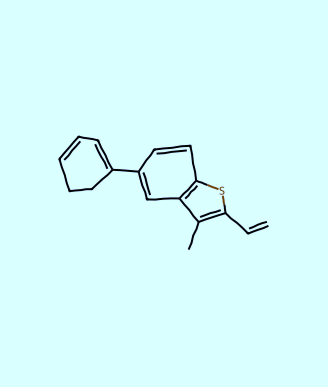 C=Cc1sc2ccc(C3=CC=CCC3)cc2c1C